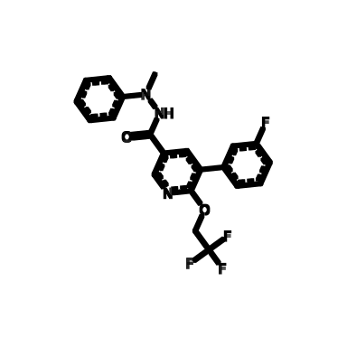 CN(NC(=O)c1cnc(OCC(F)(F)F)c(-c2cccc(F)c2)c1)c1ccccc1